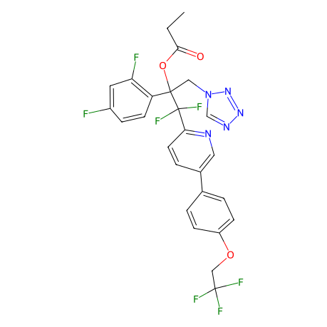 CCC(=O)OC(Cn1cnnn1)(c1ccc(F)cc1F)C(F)(F)c1ccc(-c2ccc(OCC(F)(F)F)cc2)cn1